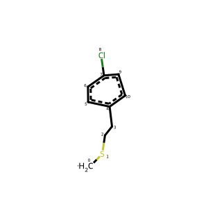 [CH2]SCCc1ccc(Cl)cc1